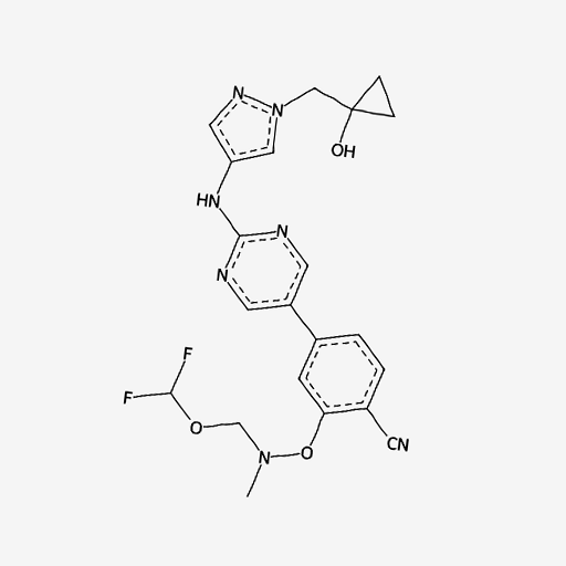 CN(COC(F)F)Oc1cc(-c2cnc(Nc3cnn(CC4(O)CC4)c3)nc2)ccc1C#N